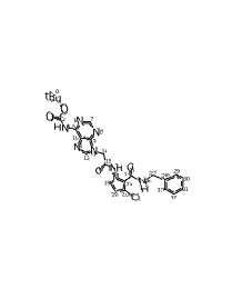 CC(C)(C)OC(=O)Nc1ncnc2c1ncn2CC(=O)Nn1ccc(Cl)c1C(=O)NCc1ccccc1